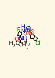 CC(C)(C)[S+]([O-])Nc1ccc(F)c(NC(=O)[C@H]2CCCN2S(=O)(=O)c2ccc3cc(Cl)ccc3c2)c1